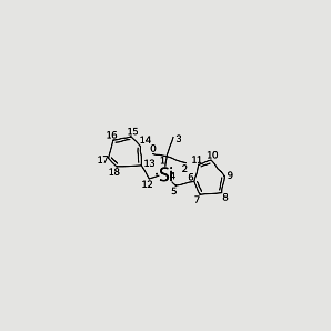 CC(C)(C)[Si](Cc1ccccc1)Cc1ccccc1